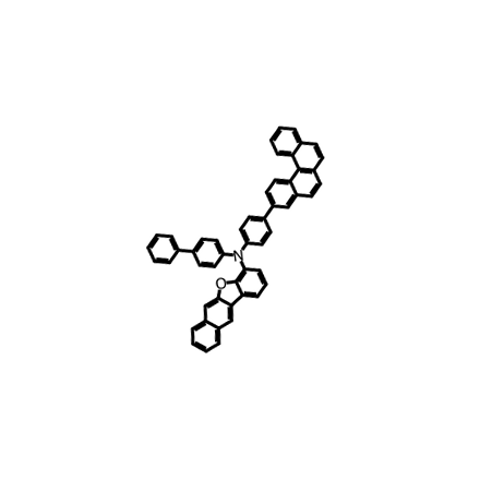 c1ccc(-c2ccc(N(c3ccc(-c4ccc5c(ccc6ccc7ccccc7c65)c4)cc3)c3cccc4c3oc3cc5ccccc5cc34)cc2)cc1